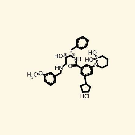 COc1cccc(CNC[C@H](O)[C@H](Cc2ccccc2)NC(=O)c2cc(C3CCCC3)cc(N3CCCCS3(O)O)c2)c1.Cl